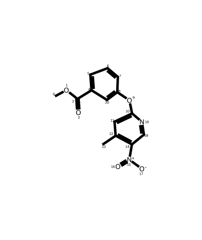 COC(=O)c1cccc(Oc2cc(C)c([N+](=O)[O-])cn2)c1